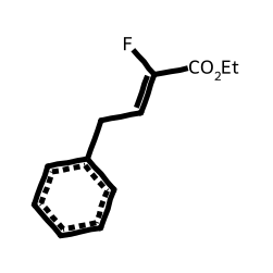 CCOC(=O)C(F)=CCc1ccccc1